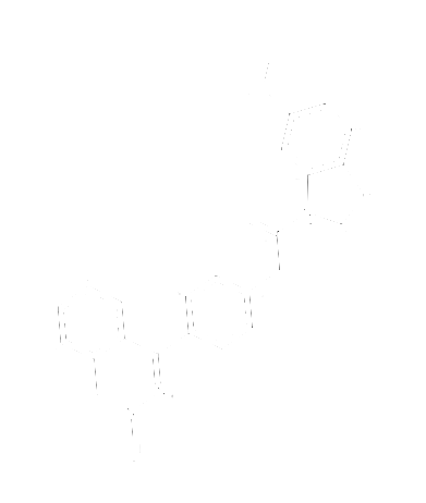 Cc1ccccc1/C(=N\NC=O)c1ccc(CC(=O)N2CCc3ccc(OC(C)C)cc32)cc1